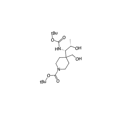 C[C@H](O)[C@@H](NC(=O)OC(C)(C)C)C1(CO)CCN(C(=O)OC(C)(C)C)CC1